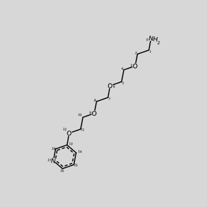 NCCOCCOCCOCCOc1cccnc1